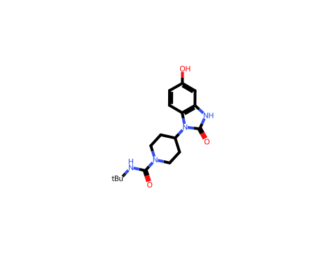 CC(C)(C)NC(=O)N1CCC(n2c(=O)[nH]c3cc(O)ccc32)CC1